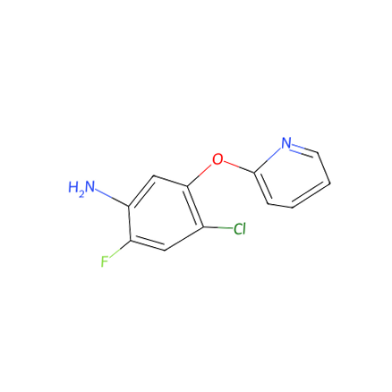 Nc1cc(Oc2ccccn2)c(Cl)cc1F